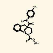 CCc1ccc(N(CC)C(=O)C2(Cc3ccccc3F)CCN(C(=O)OC(C)(C)C)CC2)cc1